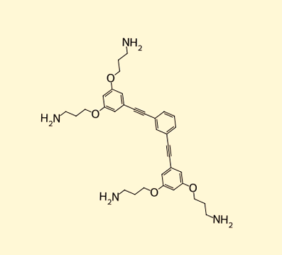 NCCCOc1cc(C#Cc2cccc(C#Cc3cc(OCCCN)cc(OCCCN)c3)c2)cc(OCCCN)c1